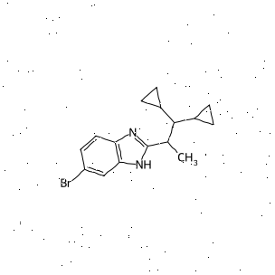 CC(c1nc2ccc(Br)cc2[nH]1)C(C1CC1)C1CC1